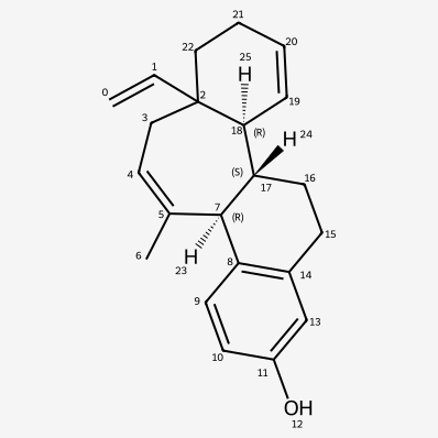 C=CC12CC=C(C)[C@@H]3c4ccc(O)cc4CC[C@H]3[C@@H]1C=CCC2